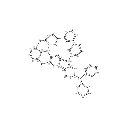 c1ccc(-c2ccc3c(c2)B2c4cc5c(cc4Oc4cccc(c42)O3)c2ccc(N(c3ccccc3)c3ccccc3)cc2n5-c2ccccc2)cc1